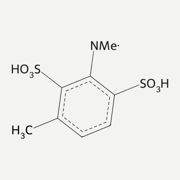 C[N]c1c(S(=O)(=O)O)ccc(C)c1S(=O)(=O)O